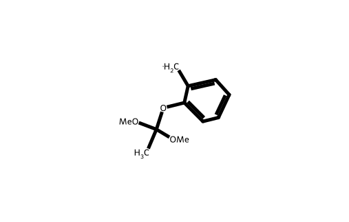 [CH2]c1ccccc1OC(C)(OC)OC